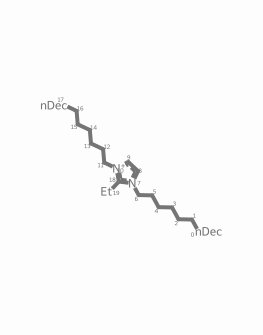 CCCCCCCCCCCCCCCCn1cc[n+](CCCCCCCCCCCCCCCC)c1CC